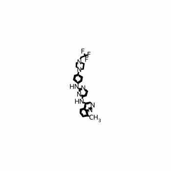 Cc1cccc2c(Nc3ccnc(Nc4ccc(N5CCN(CC(F)(F)F)CC5)cc4)n3)cnnc12